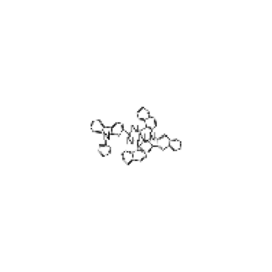 c1ccc(-n2c3ccccc3c3ccc(-c4nc(-c5cccc6ccccc56)nc(-c5c(-n6c7ccccc7c7cc8ccccc8cc76)ccc6ccccc56)n4)cc32)cc1